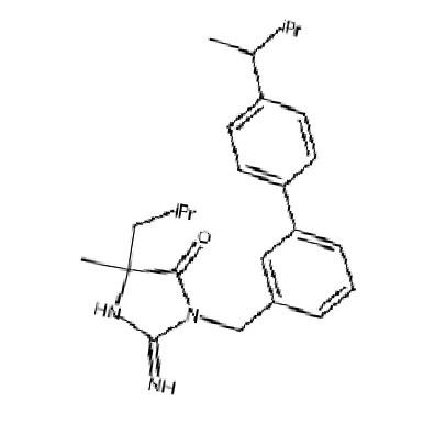 CC(C)CC1(C)NC(=N)N(Cc2cccc(-c3ccc(C(C)C(C)C)cc3)c2)C1=O